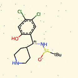 CC(C)(C)[S+]([O-])N[C@@H](c1cc(Cl)c(Cl)cc1O)C1CCNCC1